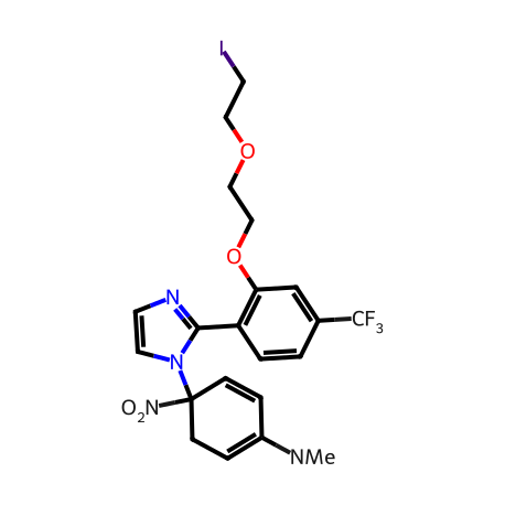 CNC1=CCC(n2ccnc2-c2ccc(C(F)(F)F)cc2OCCOCCI)([N+](=O)[O-])C=C1